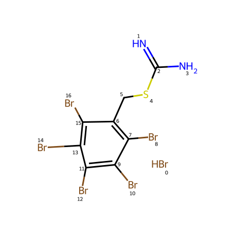 Br.N=C(N)SCc1c(Br)c(Br)c(Br)c(Br)c1Br